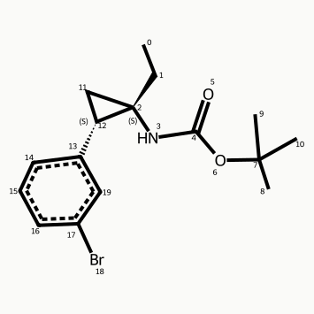 CC[C@]1(NC(=O)OC(C)(C)C)C[C@H]1c1cccc(Br)c1